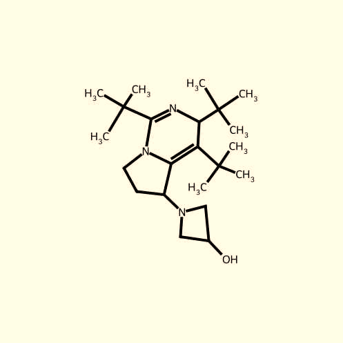 CC(C)(C)C1=NC(C(C)(C)C)C(C(C)(C)C)=C2C(N3CC(O)C3)CCN12